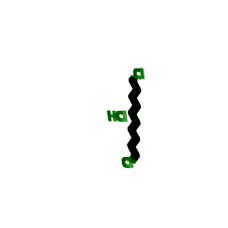 Cl.ClCCCCCCCCCCCl